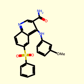 COc1cccc(Nc2c(C(N)=O)cnc3ccc(S(=O)(=O)c4ccccc4)cc23)c1